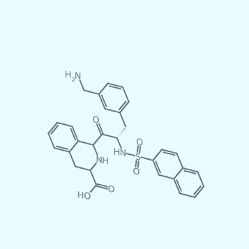 NCc1cccc(C[C@H](NS(=O)(=O)c2ccc3ccccc3c2)C(=O)C2NC(C(=O)O)Cc3ccccc32)c1